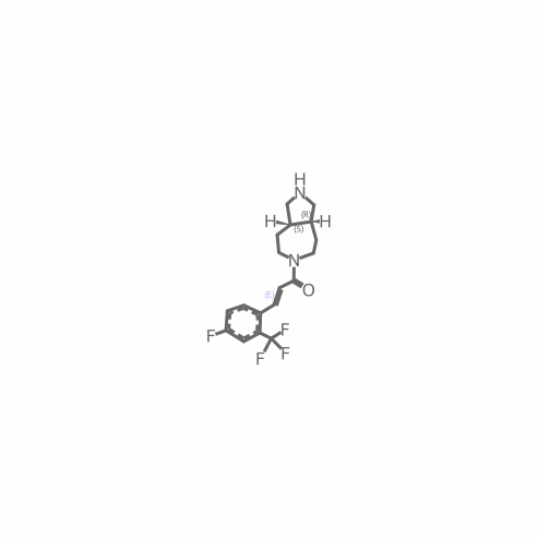 O=C(/C=C/c1ccc(F)cc1C(F)(F)F)N1CC[C@@H]2CNC[C@@H]2CC1